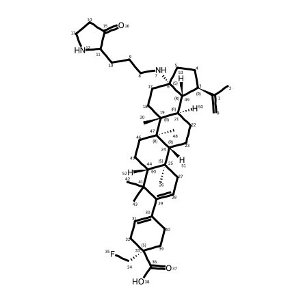 C=C(C)[C@@H]1CC[C@]2(NCCCC3NCCC3=O)CC[C@]3(C)[C@H](CC[C@@H]4[C@@]5(C)CC=C(C6=CC[C@](CF)(C(=O)O)CC6)C(C)(C)[C@@H]5CC[C@]43C)[C@@H]12